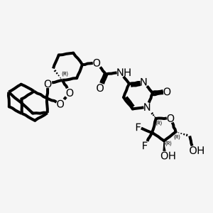 O=C(Nc1ccn([C@@H]2O[C@H](CO)[C@@H](O)C2(F)F)c(=O)n1)OC1CCC[C@]2(C1)OOC1(O2)C2CC3CC(C2)CC1C3